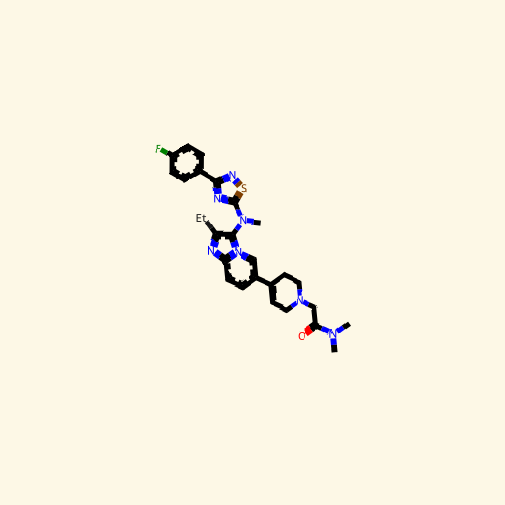 CCc1nc2ccc(C3=CCN(CC(=O)N(C)C)CC3)cn2c1N(C)c1nc(-c2ccc(F)cc2)ns1